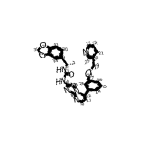 C[C@H](NC(=O)Nc1nc2nccc(-c3cccc(OCc4cccnc4)c3)n2n1)c1ccc2c(c1)OCO2